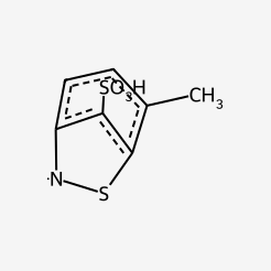 Cc1ccc2c(S(=O)(=O)O)c1S[N]2